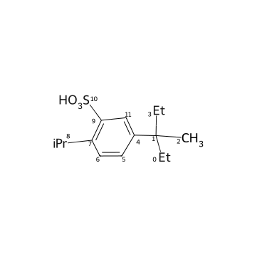 CCC(C)(CC)c1ccc(C(C)C)c(S(=O)(=O)O)c1